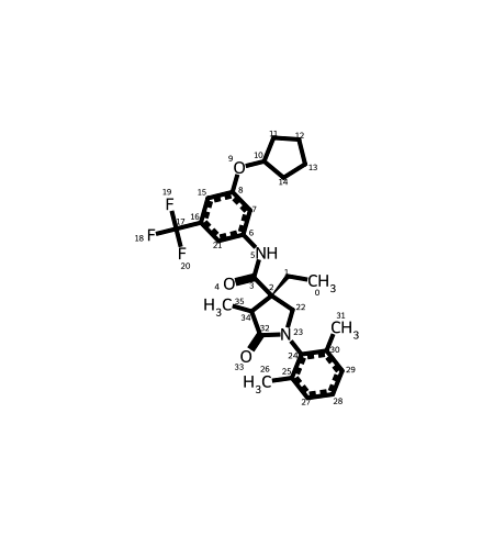 CC[C@@]1(C(=O)Nc2cc(OC3CCCC3)cc(C(F)(F)F)c2)CN(c2c(C)cccc2C)C(=O)C1C